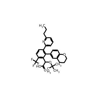 CCCc1cccc(-c2ccc(C(F)(F)F)c(C(OC(C)(C)C)C(=O)O)c2-c2ccc3c(c2)CCCO3)n1